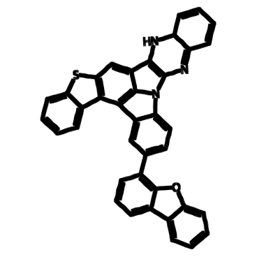 C1=CC2=Nc3c(c4cc5sc6ccccc6c5c5c6cc(-c7cccc8c7oc7ccccc78)ccc6n3c45)NC2C=C1